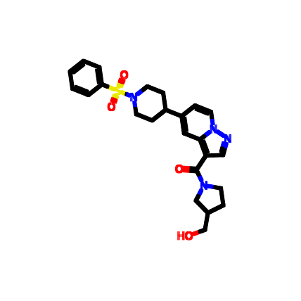 O=C(c1cnn2ccc(C3CCN(S(=O)(=O)c4ccccc4)CC3)cc12)N1CCC(CO)C1